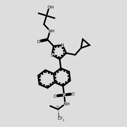 C[C@H](NS(=O)(=O)c1ccc(-c2sc(C(=O)NCC(C)(C)O)nc2CC2CC2)c2ccccc12)C(F)(F)F